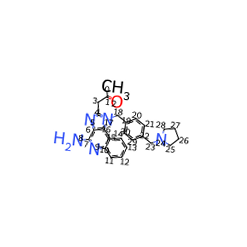 CC(=O)Cc1nc2c(N)nc3ccccc3c2n1Cc1ccc(CN2CCCC2)cc1